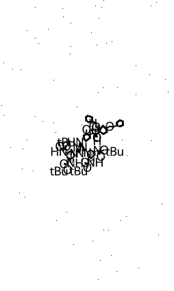 CC(C)(C)OC(=O)N[C@@H]1C[C@H](NC(=O)OC(C)(C)C)CN(c2nc(Nc3ccc(NC(=O)c4ccc(OCc5ccccc5)cc4OCc4ccccc4)c(O)c3)nc(N3C[C@H](NC(=O)OC(C)(C)C)C[C@H](NC(=O)OC(C)(C)C)C3)n2)C1